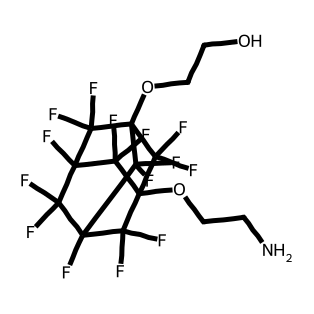 NCCOC12C(F)(F)C3(F)C(F)(F)C(F)(C1(F)F)C(F)(F)C(OCCO)(C3(F)F)C2(F)F